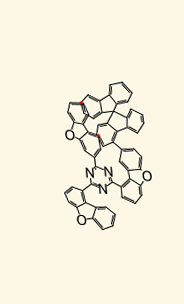 c1ccc2c(c1)-c1ccccc1C21c2ccccc2-c2c(-c3ccc4oc5cccc(-c6nc(-c7ccc8c(c7)oc7ccccc78)nc(-c7cccc8oc9ccccc9c78)n6)c5c4c3)cccc21